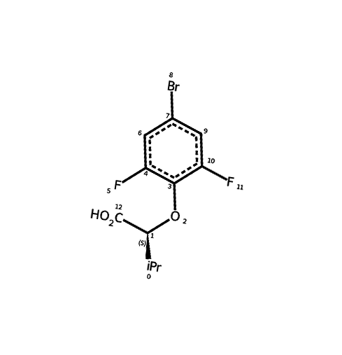 CC(C)[C@H](Oc1c(F)cc(Br)cc1F)C(=O)O